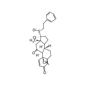 C[C@]12C=CC(=O)C=C1CC[C@@H]1[C@@H]2C(=O)C[C@@]2(C)[C@H]1CC[C@]2(Cl)[S+]([O-])CCc1ccccc1